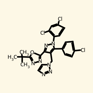 CC(C)(C)c1nnc(-c2nn(-c3ccc(Cl)cc3Cl)c(-c3ccc(Cl)cc3)c2Cn2ccnn2)o1